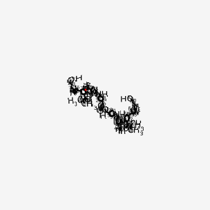 CN(C)C(=O)c1cc(-c2cnn(CCCO)c2)ccc1Nc1nc(Nc2ccc(CO[PH](=O)OCc3ccc(Nc4ncc(C(F)(F)F)c(Nc5ccc(-c6cnn(CCCO)c6)cc5C(=O)N(C)C)n4)cc3)cc2)ncc1C(F)(F)F